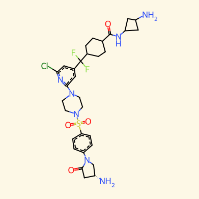 NC1CC(NC(=O)C2CCC(C(F)(F)c3cc(Cl)nc(N4CCN(S(=O)(=O)c5ccc(N6C[C@H](N)CC6=O)cc5)CC4)c3)CC2)C1